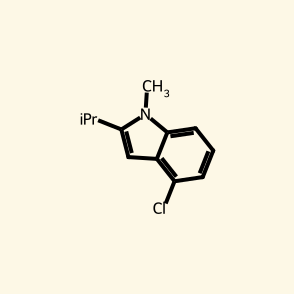 CC(C)c1cc2c(Cl)cccc2n1C